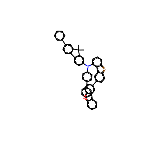 CC1(C)c2cc(-c3ccccc3)ccc2-c2ccc(N(c3ccc(-c4ccccc4)cc3)c3cccc4sc5ccc(-c6ccc7oc8ccccc8c7c6)cc5c34)cc21